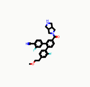 COCCc1ccc(-c2ccc(C(=O)N3CC4CNCC4C3)cc2-c2ccc(C#N)c(F)c2)c(F)c1